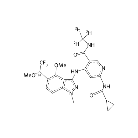 [2H]C([2H])([2H])NC(=O)c1cnc(NC(=O)C2CC2)cc1Nc1nn(C)c2ccc([C@H](OC)C(F)(F)F)c(OC)c12